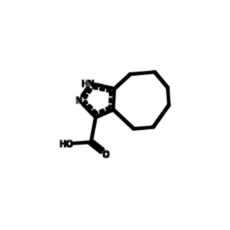 O=C(O)c1n[nH]c2c1CCCCCC2